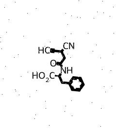 C#CC(C#N)CC(=O)N[C@@H](Cc1ccccc1)C(=O)O